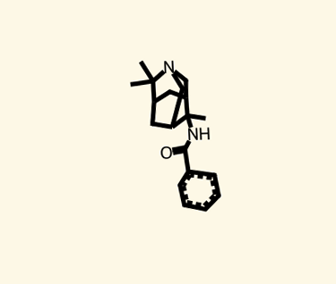 CC1(NC(=O)c2ccccc2)C2CC3CC1CN(C2)C3(C)C